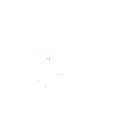 CCCCOC(=O)N1CCC(CCc2ccccc2)(C(O)C(C)(C)C(=O)OCC)C1